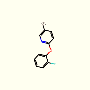 Fc1ccccc1Oc1ccc(C(F)(F)F)cn1